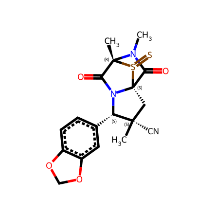 CN1C(=O)[C@@]23C[C@](C)(C#N)[C@H](c4ccc5c(c4)OCO5)N2C(=O)[C@@]1(C)S3=S